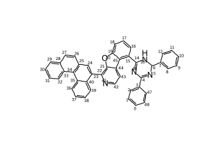 c1ccc(C2=NC(c3ccccc3)NC(c3cccc4oc5c(-c6cc7ccc8ccccc8c7c7ccccc67)nccc5c34)=N2)cc1